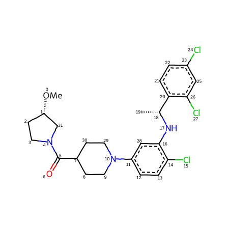 CO[C@H]1CCN(C(=O)C2CCN(c3ccc(Cl)c(N[C@H](C)c4ccc(Cl)cc4Cl)c3)CC2)C1